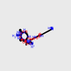 CCCC[C@H](NC(=O)[C@H](CN)NC(=O)[C@H](Cc1c[nH]cn1)NC(=O)COCCOCCNC(=O)CCCS(=O)(=O)NC(=O)CCCCCCCCCCCCCCCc1nnn[nH]1)C(=O)N[C@H]1CCC(=O)NCCCC[C@@H](C(C)=O)NC(=O)[C@H](Cc2c[nH]c3ccccc23)NC(=O)[C@H](CCCNC(=N)N)NC(=O)[C@@H](Cc2ccccc2)NC(=O)[C@@H]2C[C@@H](O)CN2C1=O